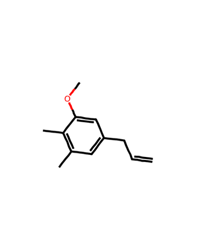 C=CCc1cc(C)c(C)c(OC)c1